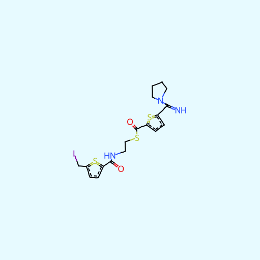 N=C(c1ccc(C(=O)SCCNC(=O)c2ccc(CI)s2)s1)N1CCCC1